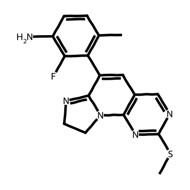 CSc1ncc2c(n1)N1CCN=C1C(c1c(C)ccc(N)c1F)=C2